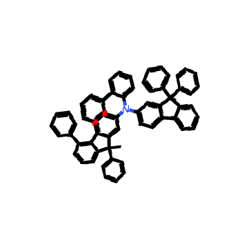 CC1(c2ccccc2)c2cc(N(c3ccc4c(c3)C(c3ccccc3)(c3ccccc3)c3ccccc3-4)c3ccccc3-c3ccccc3)ccc2-c2c(-c3ccccc3)cccc21